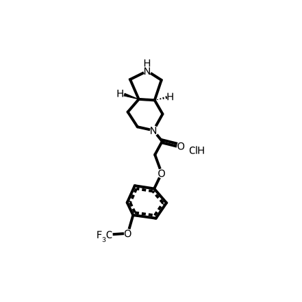 Cl.O=C(COc1ccc(OC(F)(F)F)cc1)N1CC[C@@H]2CNC[C@H]2C1